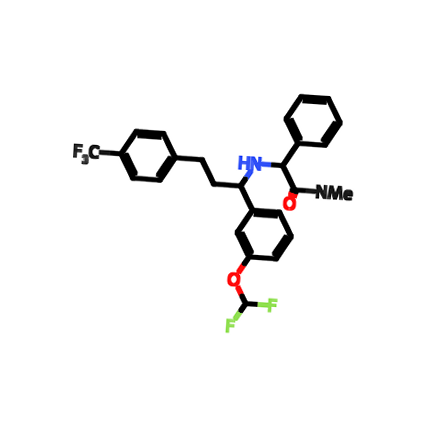 CNC(=O)C(NC(CCc1ccc(C(F)(F)F)cc1)c1cccc(OC(F)F)c1)c1ccccc1